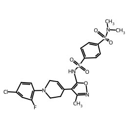 Cc1noc(NS(=O)(=O)c2ccc(S(=O)(=O)N(C)C)cc2)c1C1=CCN(c2ccc(Cl)cc2F)CC1